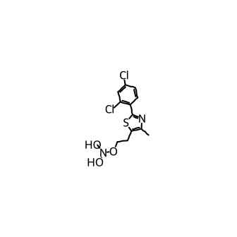 Cc1nc(-c2ccc(Cl)cc2Cl)sc1CCON(O)O